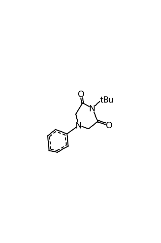 CC(C)(C)N1C(=O)CN(c2ccccc2)CC1=O